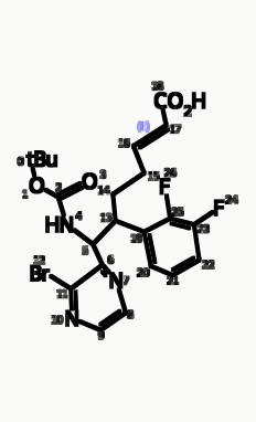 CC(C)(C)OC(=O)NC(c1nccnc1Br)C(CC/C=C/C(=O)O)c1cccc(F)c1F